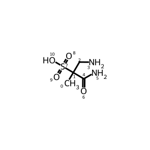 CC(CN)(C(N)=O)S(=O)(=O)O